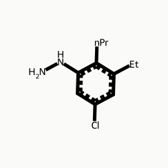 CCCc1c(CC)cc(Cl)cc1NN